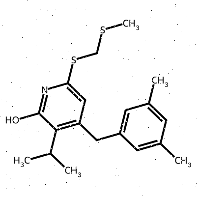 CSCSc1cc(Cc2cc(C)cc(C)c2)c(C(C)C)c(O)n1